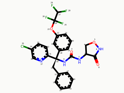 O=C(NC1CONC1=O)N[C@@](Cc1ccccc1)(c1cccc(OC(F)(F)C(F)F)c1)c1ccc(Cl)cn1